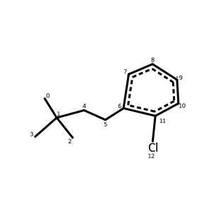 CC(C)(C)CCc1cc[c]cc1Cl